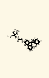 CC(CO)(CO)COC(=O)CCc1ccc(C2(O)c3ccccc3Sc3ccccc32)cc1